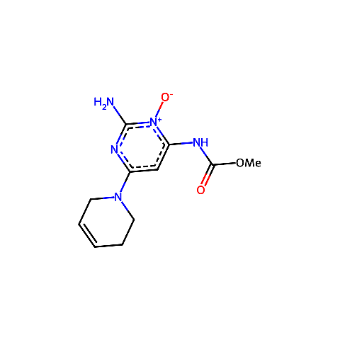 COC(=O)Nc1cc(N2CC=CCC2)nc(N)[n+]1[O-]